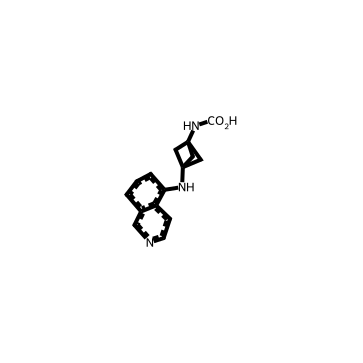 O=C(O)NC12CC(Nc3cccc4cnccc34)(C1)C2